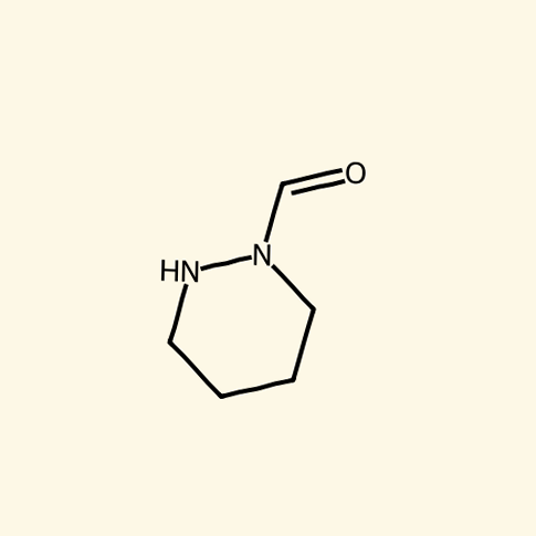 O=CN1CCCCN1